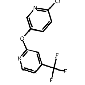 FC(F)(F)c1[c]cnc(Oc2ccc(Cl)nc2)c1